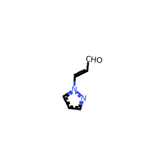 O=CC=Cn1cccn1